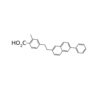 Cc1cc(CCc2ccc3cc(-c4ccccc4)ccc3c2)ccc1C(=O)O